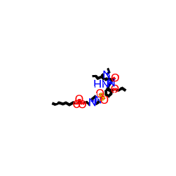 CCCCCCCOC(=O)OCCN1CCN(S(=O)(=O)c2ccc(OCCC)c(-c3nc(=O)c4c([nH]3)c(CCC)cn4CC)c2)CC1